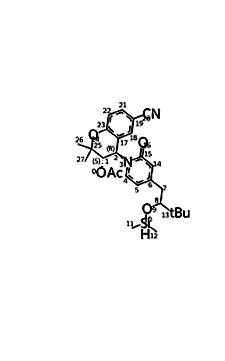 CC(=O)O[C@H]1[C@H](n2ccc(CC(O[SiH](C)C)C(C)(C)C)cc2=O)c2cc(C#N)ccc2OC1(C)C